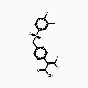 Cc1cc(S(=O)(=O)Cc2ccc(C(C(=O)O)=C(F)F)cc2)ccc1F